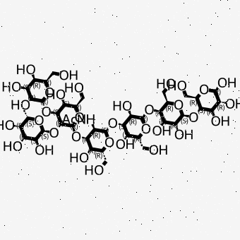 CC(=O)N[C@H]1[C@H](O[C@H]2[C@@H](O)[C@@H](CO)O[C@H](O[C@@H]3[C@H](O)[C@@H](O)[C@H](O[C@H]4[C@H](O)[C@@H](O)[C@H](O)O[C@@H]4CO)O[C@@H]3CO)[C@@H]2O)O[C@H](CO)[C@H](O)[C@@H]1O[C@@H]1O[C@H](CO)[C@H](O)[C@H](O[C@H]2O[C@H](CO)[C@H](O)[C@H](O)[C@H]2O)[C@H]1O[C@@H]1O[C@@H](C)[C@@H](O)[C@@H](O)[C@@H]1O